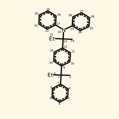 CCC(C)(c1ccccc1)c1ccc(C(C)(CC)N(c2ccccc2)c2ccccc2)cc1